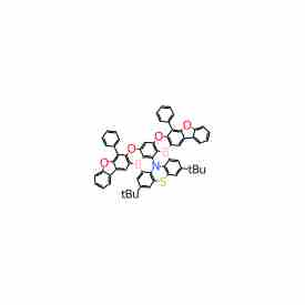 CC(C)(C)c1cc2c3c(c1)B1c4cc5c(oc6ccccc65)c(-c5ccccc5)c4Oc4cc5c6c(c41)N3c1c(cc(C(C)(C)C)cc1B6c1cc3c(oc4ccccc43)c(-c3ccccc3)c1O5)S2